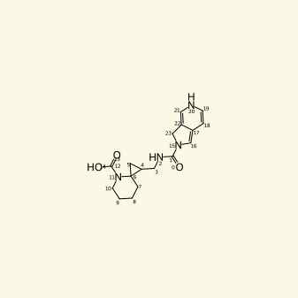 O=C(NCC1CC12CCCCN2C(=O)O)N1C=C2C=CNC=C2C1